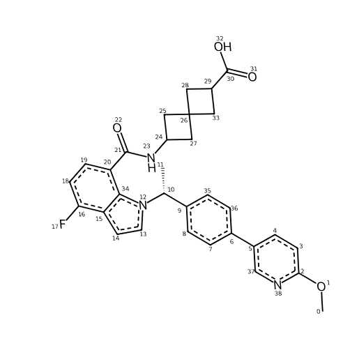 COc1ccc(-c2ccc([C@@H](C)n3ccc4c(F)ccc(C(=O)NC5CC6(C5)CC(C(=O)O)C6)c43)cc2)cn1